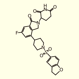 O=C1CCC(N2Cc3c(cc(F)cc3C3CCN(S(=O)(=O)c4ccc5c(c4)CCO5)CC3)C2=O)C(=O)N1